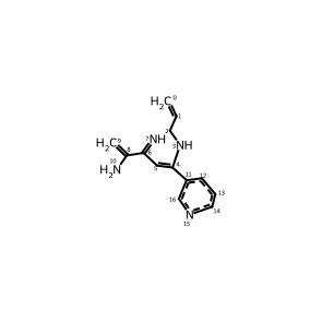 C=CCN/C(=C\C(=N)C(=C)N)c1cccnc1